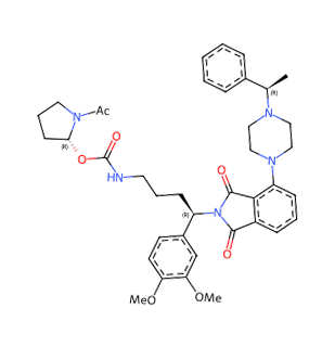 COc1ccc([C@@H](CCCNC(=O)O[C@@H]2CCCN2C(C)=O)N2C(=O)c3cccc(N4CCN([C@H](C)c5ccccc5)CC4)c3C2=O)cc1OC